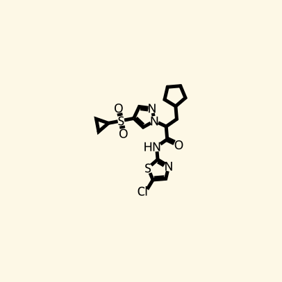 O=C(Nc1ncc(Cl)s1)C(CC1CCCC1)n1cc(S(=O)(=O)C2CC2)cn1